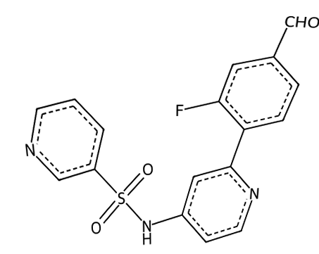 O=Cc1ccc(-c2cc(NS(=O)(=O)c3cccnc3)ccn2)c(F)c1